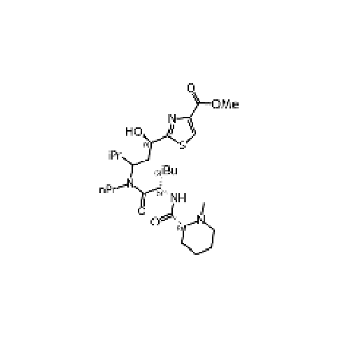 CCCN(C(=O)[C@@H](NC(=O)[C@H]1CCCCN1C)[C@@H](C)CC)C(C[C@@H](O)c1nc(C(=O)OC)cs1)C(C)C